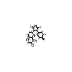 Cc1nn(C)c(C2CC=C3OCC(=O)NC3=N2)c1-c1ccc(F)cc1